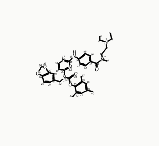 CCN(CC)CCN(C)C(=O)c1ccc(Nc2nccc(N(Cc3ccc4c(c3)OCO4)C(=O)Oc3c(C)cc(C)cc3C)n2)cc1